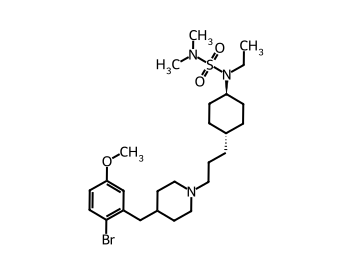 CCN([C@H]1CC[C@H](CCCN2CCC(Cc3cc(OC)ccc3Br)CC2)CC1)S(=O)(=O)N(C)C